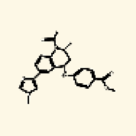 COC(=O)c1ccc(N[C@@H]2C[C@H](C)N(C(C)=O)c3ccc(-c4cn(C)cn4)cc32)cc1